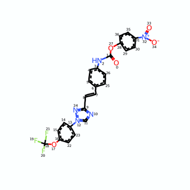 O=C(Nc1ccc(/C=C/c2ncn(-c3ccc(OC(F)(F)F)cc3)n2)cc1)Oc1ccc([N+](=O)[O-])cc1